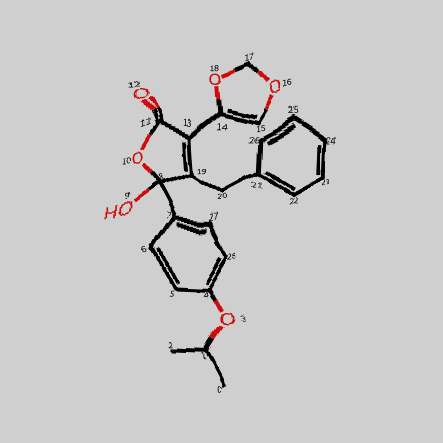 CC(C)Oc1ccc(C2(O)OC(=O)C(C3=COCO3)=C2Cc2ccccc2)cc1